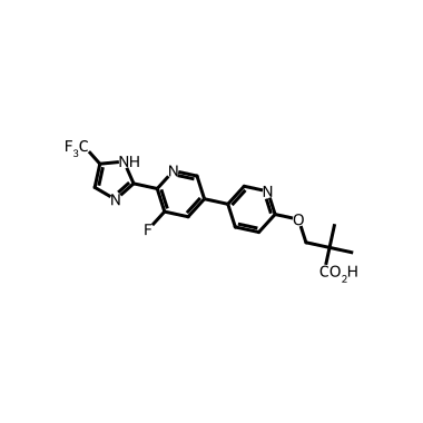 CC(C)(COc1ccc(-c2cnc(-c3ncc(C(F)(F)F)[nH]3)c(F)c2)cn1)C(=O)O